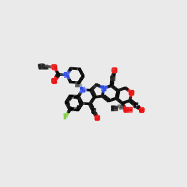 CC[C@@]1(O)C(=C=O)OCC2=C1C=C1C3=C(CN1C2=C=O)N([C@H]1CCCN(C(=O)OC(C)(C)C)C1)c1ccc(F)cc1C3=C=O